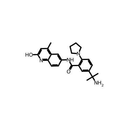 Cc1cc(O)nc2ccc(NC(=O)c3cc(C(C)(C)N)ccc3N3CCCC3)cc12